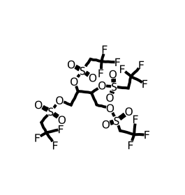 O=S(=O)(CC(F)(F)F)OCC(OS(=O)(=O)CC(F)(F)F)C(COS(=O)(=O)CC(F)(F)F)OS(=O)(=O)CC(F)(F)F